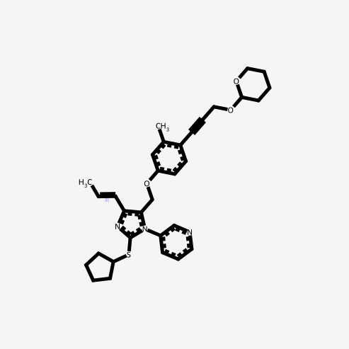 C/C=C/c1nc(SC2CCCC2)n(-c2cccnc2)c1COc1ccc(C#CCOC2CCCCO2)c(C)c1